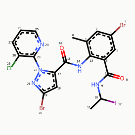 Cc1cc(Br)cc(C(=O)NC(C)I)c1NC(=O)c1cc(Br)nn1-c1ncccc1Cl